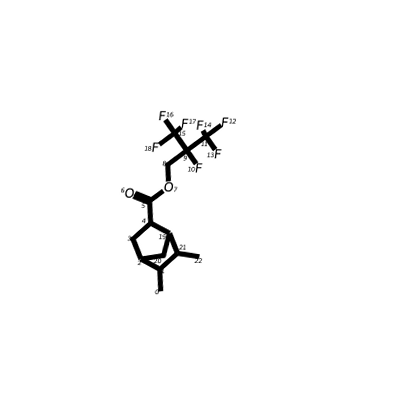 CC1C2CC(C(=O)OCC(F)(C(F)(F)F)C(F)(F)F)C(C2)C1C